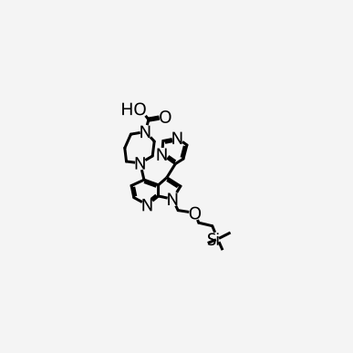 C[Si](C)(C)CCOCn1cc(-c2ccncn2)c2c(N3CCCN(C(=O)O)CC3)ccnc21